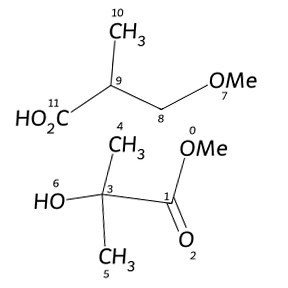 COC(=O)C(C)(C)O.COCC(C)C(=O)O